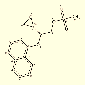 CS(=O)(=O)OCC(Oc1cccc2ccccc12)[C@@H]1CO1